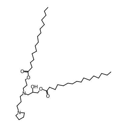 CCCCCCCCCCCCCCCC(=O)OCCCN(CCCN1CCCC1)CC(O)COC(=O)CCCCCCCCCCCCCCC